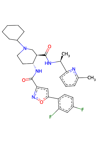 Cc1cccc([C@H](C)NC(=O)[C@@H]2CN(C3CCCCC3)CC[C@H]2NC(=O)c2cc(-c3ccc(F)cc3F)on2)n1